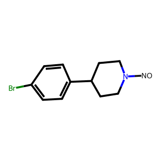 O=NN1CCC(c2ccc(Br)cc2)CC1